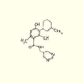 CC1=CC(c2c(O)cc(C)c(C(=O)NCc3cncnc3)c2O)CCC1